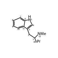 CCCC(Cc1c[nH]c2ccccc12)NC